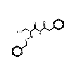 O=C(Cc1ccccc1)NC(=O)[C@H](CO)NOCc1ccccc1